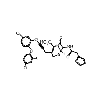 O=C(Cc1cccs1)NC1C(=O)N2C(C(=O)O)=C(CC#COc3cc(Cl)ccc3Oc3ccc(Cl)cc3Cl)CS[C@@H]12